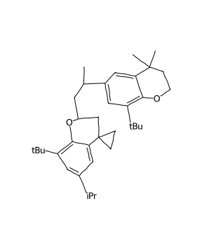 CC(C)c1cc(C(C)(C)C)c2c(c1)C1(CC1)CC(CC(C)c1cc(C(C)(C)C)c3c(c1)C(C)(C)CCO3)O2